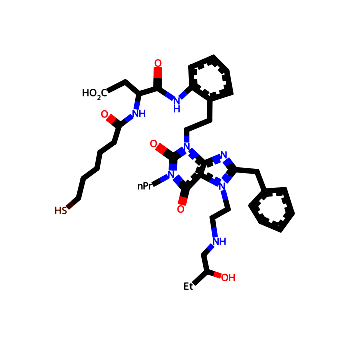 CCCn1c(=O)c2c(nc(Cc3ccccc3)n2CCNCC(O)CC)n(CCc2ccccc2NC(=O)C(CC(=O)O)NC(=O)CCCCCS)c1=O